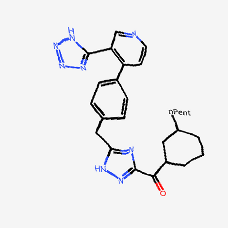 CCCCCC1CCCC(C(=O)c2n[nH]c(Cc3ccc(-c4ccncc4-c4nnn[nH]4)cc3)n2)C1